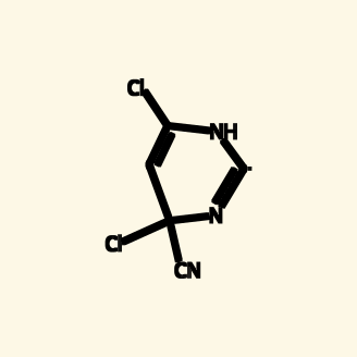 N#CC1(Cl)C=C(Cl)N[C]=N1